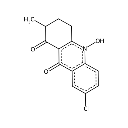 CC1CCc2c(c(=O)c3cc(Cl)ccc3n2O)C1=O